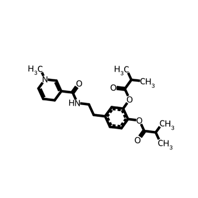 CC(C)C(=O)Oc1ccc(CCNC(=O)C2=CN(C)C=CC2)cc1OC(=O)C(C)C